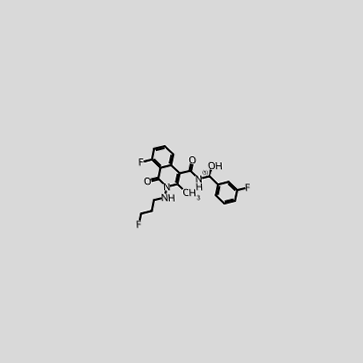 Cc1c(C(=O)N[C@@H](O)c2cccc(F)c2)c2cccc(F)c2c(=O)n1NCCCF